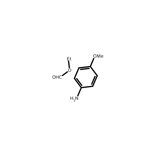 CCOC=O.COc1ccc(N)cc1